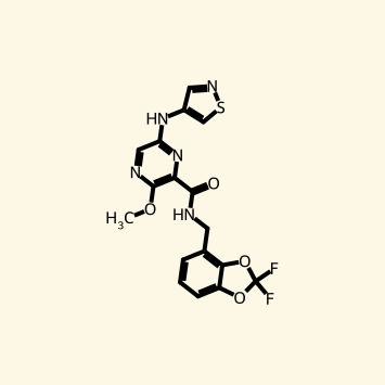 COc1ncc(Nc2cnsc2)nc1C(=O)NCc1cccc2c1OC(F)(F)O2